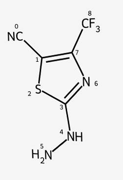 N#Cc1sc(NN)nc1C(F)(F)F